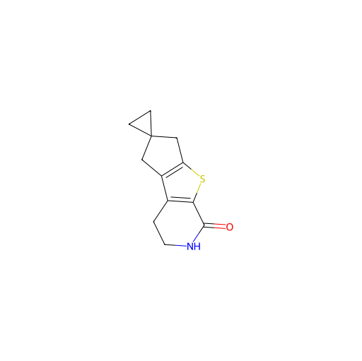 O=C1NCCc2c1sc1c2CC2(CC2)C1